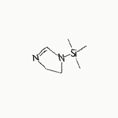 C[Si](C)(C)N1C=NCC1